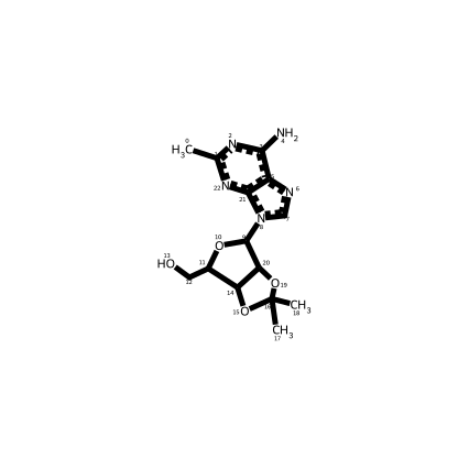 Cc1nc(N)c2ncn(C3OC(CO)C4OC(C)(C)OC43)c2n1